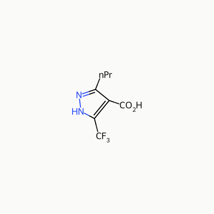 CCCc1n[nH]c(C(F)(F)F)c1C(=O)O